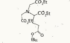 CCOC(=O)CN(CC(=O)OCC)C(CCC(=O)OC(C)(C)C)C(=O)OCC